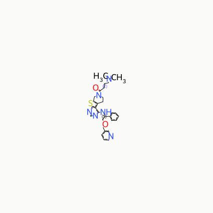 CN(C)C/C=C/C(=O)N1CCc2c(sc3ncnc(N[C@H](COCc4cccnc4)c4ccccc4)c23)C1